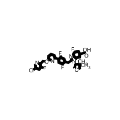 CC1(C)COC[C@H]1n1c(Cc2cc(F)c(-c3cccc(OCc4ncc(Cl)cc4F)n3)cc2F)nc2c(F)cc(C(=O)O)cc21